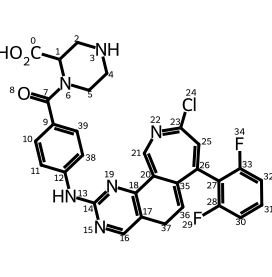 O=C(O)C1CNCCN1C(=O)c1ccc(Nc2ncc3c(n2)C2=CN=C(Cl)C=C(c4c(F)cccc4F)C2=CC3)cc1